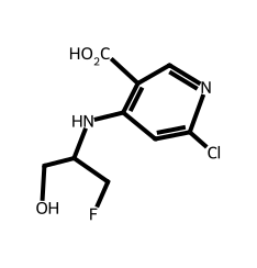 O=C(O)c1cnc(Cl)cc1NC(CO)CF